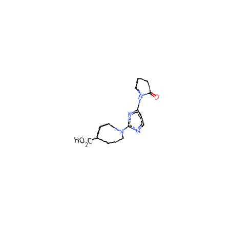 O=C(O)C1CCN(c2nccc(N3CCCC3=O)n2)CC1